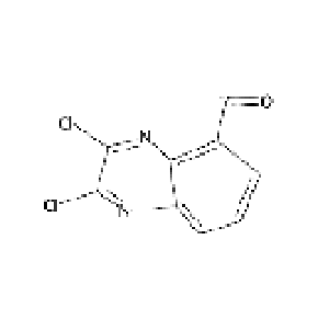 O=[C]c1cccc2nc(Cl)c(Cl)nc12